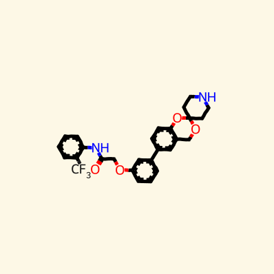 O=C(COc1cccc(-c2ccc3c(c2)COC2(CCNCC2)O3)c1)Nc1ccccc1C(F)(F)F